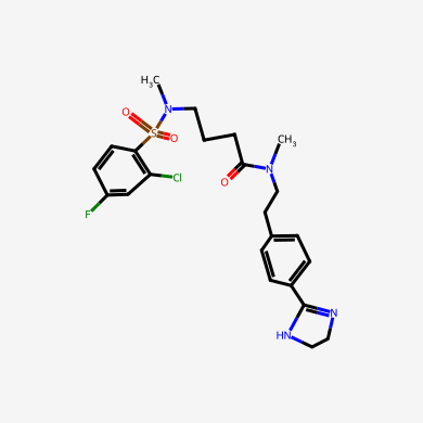 CN(CCc1ccc(C2=NCCN2)cc1)C(=O)CCCN(C)S(=O)(=O)c1ccc(F)cc1Cl